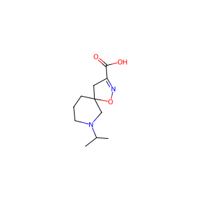 CC(C)N1CCCC2(CC(C(=O)O)=NO2)C1